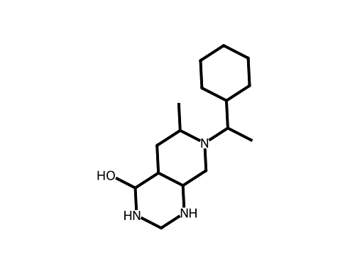 CC1CC2C(O)NCNC2CN1C(C)C1CCCCC1